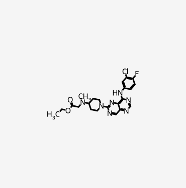 CCOC(=O)CN(C)C1CCN(c2ncc3ncnc(Nc4ccc(F)c(Cl)c4)c3n2)CC1